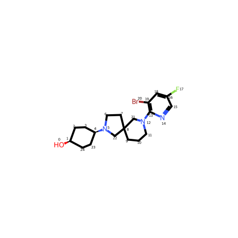 O[C@H]1CC[C@@H](N2CCC3(CCCN(c4ncc(F)cc4Br)C3)C2)CC1